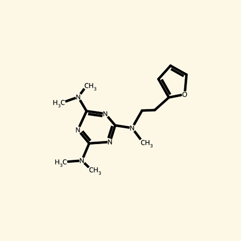 CN(C)c1nc(N(C)C)nc(N(C)CCc2ccco2)n1